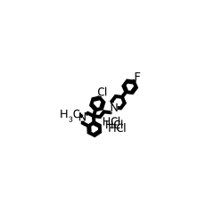 CN1Cc2ccccc2C(CCCN2CCC(c3ccc(F)cc3)CC2)(c2ccc(Cl)cc2)C1.Cl.Cl.Cl